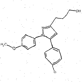 COc1ccc(-n2nc(CCCO)cc2-c2ccc(Cl)cc2)cc1